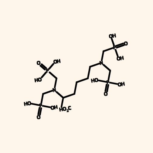 O=C(O)C(CCCCN(CP(=O)(O)O)CP(=O)(O)O)N(CP(=O)(O)O)CP(=O)(O)O